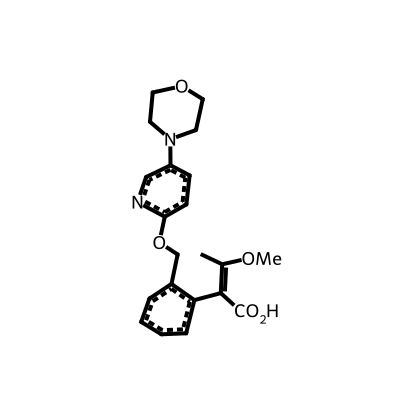 COC(C)=C(C(=O)O)c1ccccc1COc1ccc(N2CCOCC2)cn1